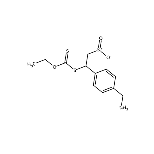 CCOC(=S)SC(C[N+](=O)[O-])c1ccc(CN)cc1